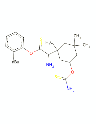 CCCCc1ccccc1OC(=S)C(N)C1(C)CC(OC(N)=S)CC(C)(C)C1